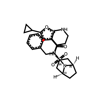 O=C(N[C@H]1C[C@H]2CC[C@@H](C1)N2S(=O)(=O)N(Cc1ccccc1)C1CCNCC1)c1cc(C2CC2)on1